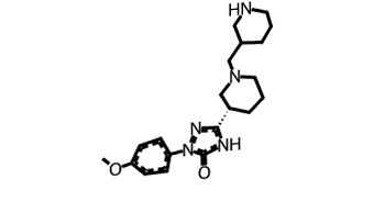 COc1ccc(-n2nc([C@H]3CCCN(CC4CCCNC4)C3)[nH]c2=O)cc1